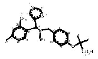 CCCN(Cc1ccc(OC(C)(C)C(=O)O)cc1)C(c1cncs1)c1ccc(C)cc1C(F)(F)F